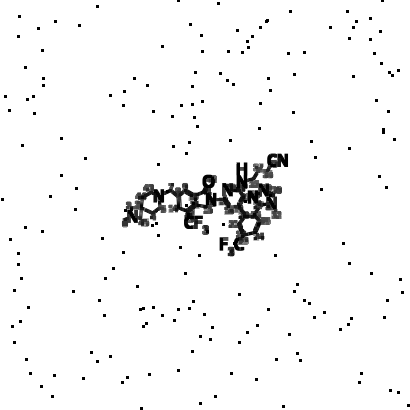 CN1CC2(CCN(Cc3cc4c(c(C(F)(F)F)c3)CN(c3cc(-c5cc(C(F)(F)F)ccc5-c5nncn5C)cc(NCCCC#N)n3)C4=O)CC2)C1